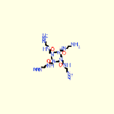 [N-]=[N+]=NCCCNC(=O)CN1CCN(CC(=O)NCCCN)CCN(CC(=O)NCCCN=[N+]=[N-])CCN(CC(=O)NCCCN=[N+]=[N-])CC1